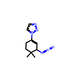 CC1(C)CCC(n2ccnn2)=CC1N=[N+]=[N-]